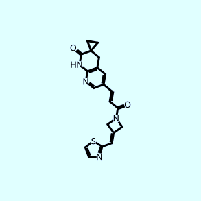 O=C(/C=C/c1cnc2c(c1)CC1(CC1)C(=O)N2)N1CC(=Cc2nccs2)C1